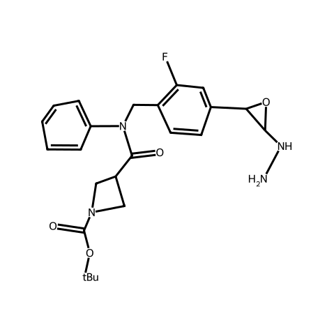 CC(C)(C)OC(=O)N1CC(C(=O)N(Cc2ccc(C3OC3NN)cc2F)c2ccccc2)C1